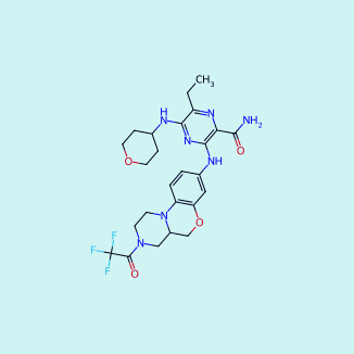 CCc1nc(C(N)=O)c(Nc2ccc3c(c2)OCC2CN(C(=O)C(F)(F)F)CCN32)nc1NC1CCOCC1